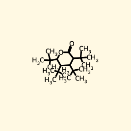 CC(C)(C)C1OC(=O)C(C(C)(C)C)C(C(C)(C)C)C1C(C)(C)C